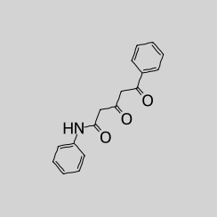 O=C(CC(=O)Nc1ccccc1)CC(=O)c1ccccc1